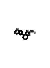 Nc1ncc2c(n1)CCCC=C2c1ccc2ncncc2c1